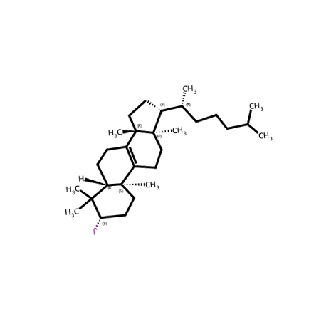 CC(C)CCC[C@@H](C)[C@H]1CC[C@@]2(C)C3=C(CC[C@]12C)[C@@]1(C)CC[C@H](I)C(C)(C)[C@@H]1CC3